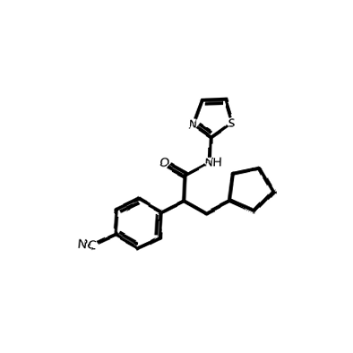 N#Cc1ccc(C(CC2CCCC2)C(=O)Nc2nccs2)cc1